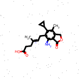 C/C(=C\Cc1c(N)c2c(c(C)c1C1CC1)COC2=O)CCC(=O)O